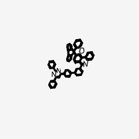 c1ccc(-c2cc(-c3ccc(-c4cccc(-c5nc6ccccc6c6c7c(ccc56)C5(c6ccccc6O7)c6ccccc6-c6ccccc65)c4)cc3)nc(-c3ccccc3)n2)cc1